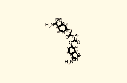 CN(C(=O)Oc1ccc2c(N)noc2c1)C(=O)Oc1ccc2c(N)noc2c1